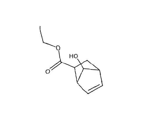 CCOC(=O)C1CC2C=CC1C2O